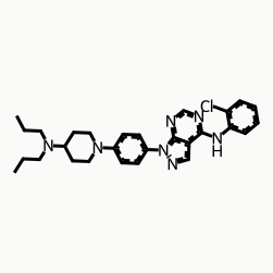 CCCN(CCC)C1CCN(c2ccc(-n3ncc4c(Nc5ccccc5Cl)ncnc43)cc2)CC1